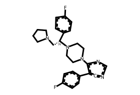 Fc1ccc(-c2cncnc2N2CCN([C@H](CN3CCCC3)c3ccc(F)cc3)CC2)cc1